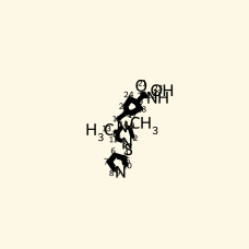 CC1CN(Sc2cccnc2)CC(C)N1Cc1ccc(C(=O)NO)cc1